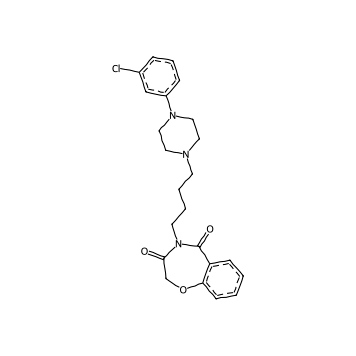 O=C1COc2ccccc2C(=O)N1CCCCN1CCN(c2cccc(Cl)c2)CC1